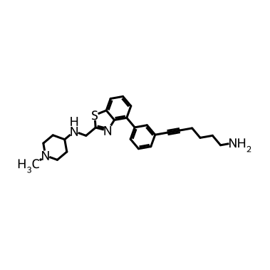 CN1CCC(NCc2nc3c(-c4cccc(C#CCCCCN)c4)cccc3s2)CC1